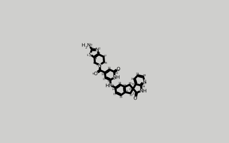 Nc1nc2c(s1)CN(C(=O)c1cc(Nc3ccc4c(c3)CC3(C4)C(=O)Nc4ncccc43)[nH]c(=O)c1)CC2